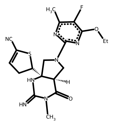 CCOc1nc(N2C[C@H]3C(=O)N(C)C(=N)N[C@@]3(C3CC=C(C#N)S3)C2)nc(C)c1F